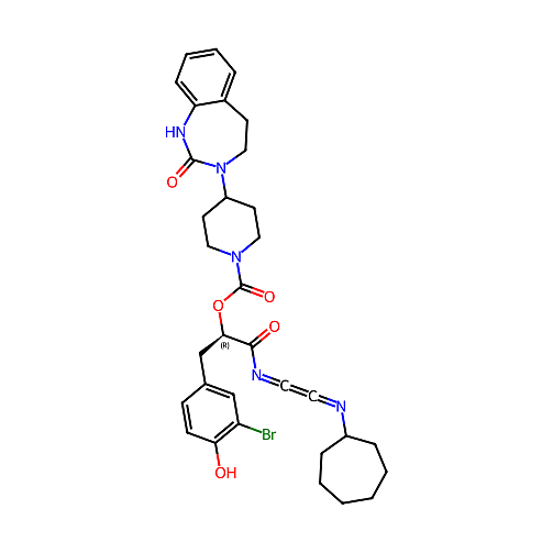 O=C(N=C=C=NC1CCCCCC1)[C@@H](Cc1ccc(O)c(Br)c1)OC(=O)N1CCC(N2CCc3ccccc3NC2=O)CC1